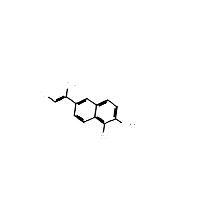 COc1ccc2cc(/C(O)=C/C(C)=O)ccc2c1Br